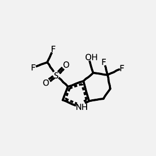 O=S(=O)(c1c[nH]c2c1C(O)C(F)(F)CC2)C(F)F